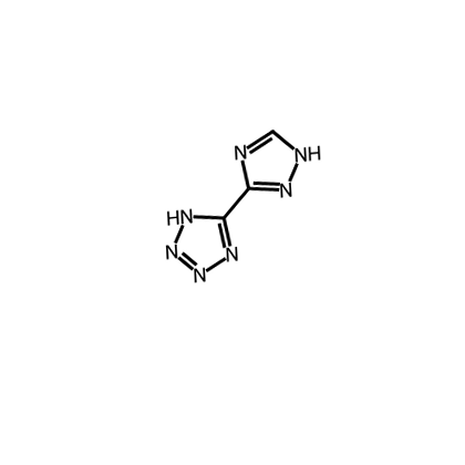 c1nc(-c2nnn[nH]2)n[nH]1